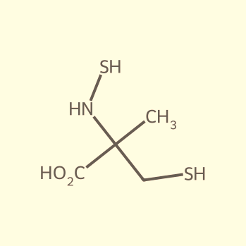 CC(CS)(NS)C(=O)O